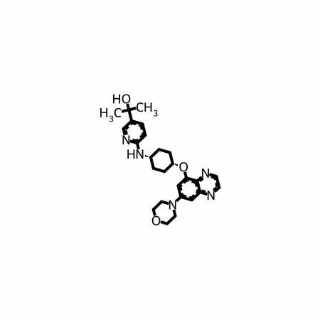 CC(C)(O)c1ccc(N[C@H]2CC[C@@H](Oc3cc(N4CCOCC4)cc4nccnc34)CC2)nc1